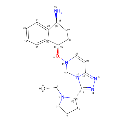 CCN1CCC[C@H]1c1nnc2n1CN(O[C@@H]1CC[C@H](N)c3ccccc31)C=C2